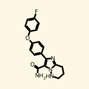 NC(=O)c1c(-c2ccc(Oc3ccc(F)cc3)cc2)nc2n1NCCC2